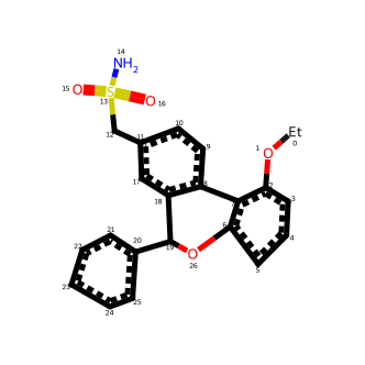 CCOc1cccc2c1-c1ccc(CS(N)(=O)=O)cc1C(c1ccccc1)O2